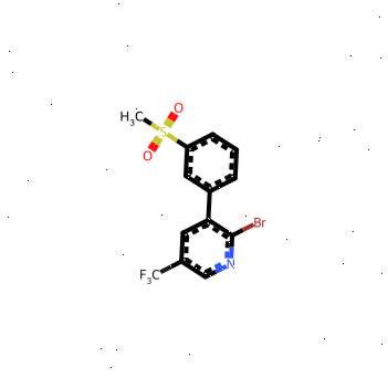 CS(=O)(=O)c1cccc(-c2cc(C(F)(F)F)cnc2Br)c1